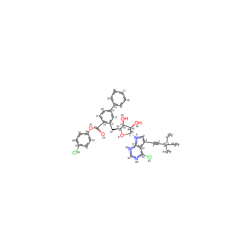 CC(C)[Si](C#Cc1cn([C@@H]2O[C@@H](Cc3cc(-c4ccccc4)ccc3C(=O)Oc3ccc(Cl)cc3)[C@@H](O)[C@H]2O)c2ncnc(Cl)c12)(C(C)C)C(C)C